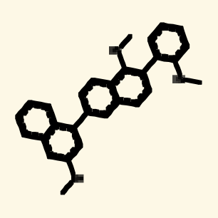 CNc1cc(-c2ccc3c(NC)c(-c4ccccc4NC)ccc3c2)c2ccccc2c1